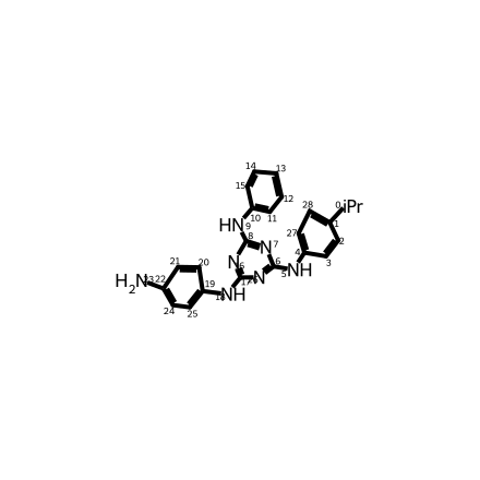 CC(C)c1ccc(Nc2nc(Nc3ccccc3)nc(Nc3ccc(N)cc3)n2)cc1